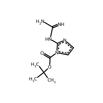 CC(C)(C)OC(=O)n1ccnc1NC(=N)N